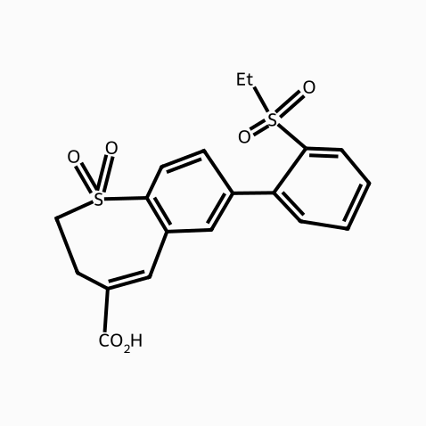 CCS(=O)(=O)c1ccccc1-c1ccc2c(c1)C=C(C(=O)O)CCS2(=O)=O